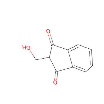 O=C1c2ccccc2C(=O)C1CO